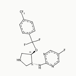 Fc1cnc(N[C@@H]2CNC[C@H]2OC(F)(F)c2ccc(C(F)(F)F)cc2)nc1